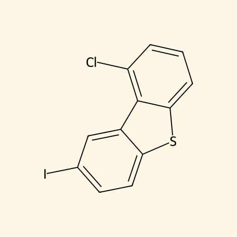 Clc1cccc2sc3ccc(I)cc3c12